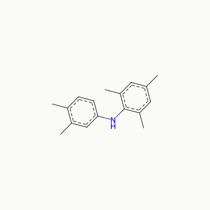 Cc1cc(C)c(Nc2ccc(C)c(C)c2)c(C)c1